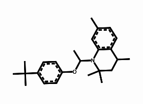 Cc1ccc2c(c1)N(C(C)Oc1ccc(C(C)(C)C)cc1)C(C)(C)CC2C